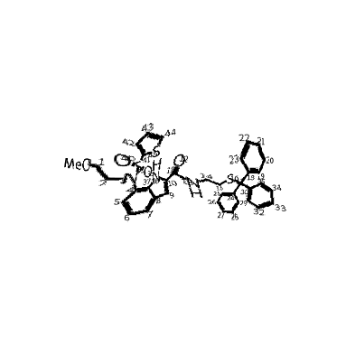 COCCN(c1cccc2cc(C(=O)NCCSC(c3ccccc3)(c3ccccc3)c3ccccc3)[nH]c12)S(=O)(=O)c1cccs1